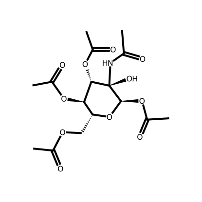 CC(=O)N[C@]1(O)[C@@H](OC(C)=O)O[C@H](COC(C)=O)[C@@H](OC(C)=O)[C@@H]1OC(C)=O